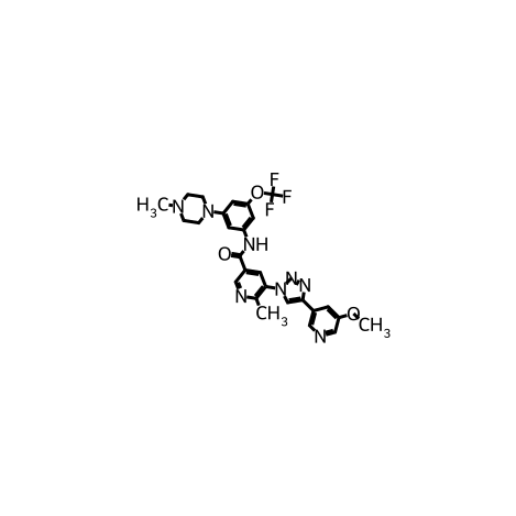 COc1cncc(-c2cn(-c3cc(C(=O)Nc4cc(OC(F)(F)F)cc(N5CCN(C)CC5)c4)cnc3C)nn2)c1